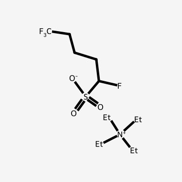 CC[N+](CC)(CC)CC.O=S(=O)([O-])C(F)CCCC(F)(F)F